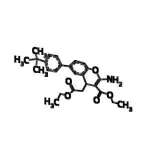 CCOC(=O)CC1C(C(=O)OCC)=C(N)Oc2ccc(-c3ccc(C(C)(C)C)cc3)cc21